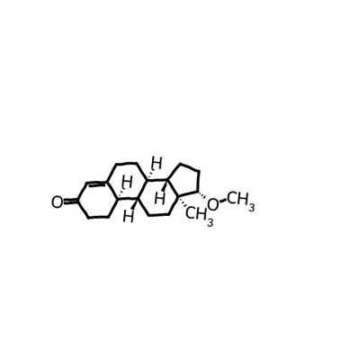 CO[C@H]1CC[C@H]2[C@@H]3CCC4=CC(=O)CC[C@@H]4[C@H]3CC[C@]12C